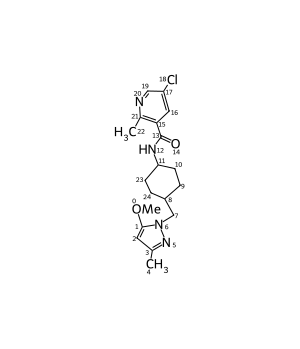 COc1cc(C)nn1CC1CCC(NC(=O)c2cc(Cl)cnc2C)CC1